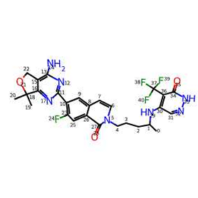 CC(CCCn1ccc2cc(-c3nc(N)c4c(n3)C(C)(C)OC4)c(F)cc2c1=O)Nc1cn[nH]c(=O)c1C(F)(F)F